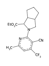 CCOC(=O)C1C2CCCC2CN1c1nc(C)cc(C(F)(F)F)c1C#N